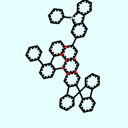 c1ccc(-c2ccccc2-c2c(-c3ccccc3)cccc2N(c2ccc(-c3ccc4c5ccccc5n(-c5ccccc5)c4c3)cc2)c2ccc3c(c2)-c2ccccc2C32c3ccccc3-c3ccccc32)cc1